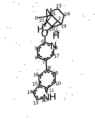 C[C@H]1[C@H](Oc2ccc(-c3ccc4[nH]ccc4c3)cn2)C2CCN1CC2